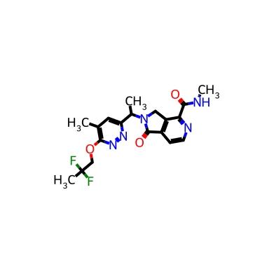 CNC(=O)c1nccc2c1CN(C(C)c1cc(C)c(OCC(C)(F)F)nn1)C2=O